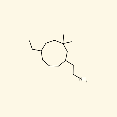 CCC1CCCC(CCN)CC(C)(C)CC1